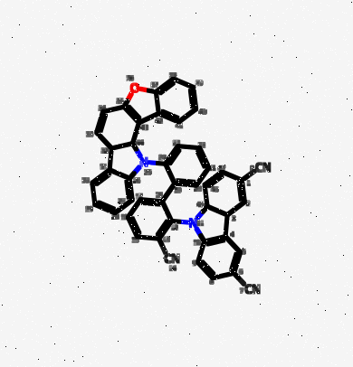 N#CC1=CC2c3cc(C#N)ccc3N(c3c(C#N)cccc3-c3ccccc3N3c4ccccc4C4C=Cc5oc6ccccc6c5C43)C2C=C1